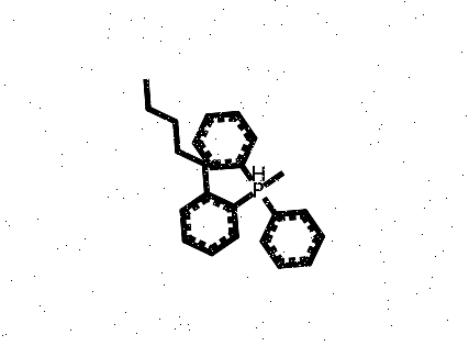 CCCCCc1ccccc1[PH](C)(c1ccccc1)c1ccccc1